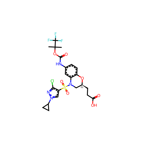 CC(C)(OC(=O)Nc1ccc2c(c1)N(S(=O)(=O)c1cn(C3CC3)nc1Cl)C[C@H](CCC(=O)O)O2)C(F)(F)F